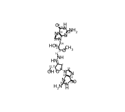 CO[C@H](CNN[C@H]1C[C@H](n2cnc3c(=O)[nH]c(N)nc32)O[C@@H]1CO)[C@@H](O)Cn1cnc2c(=O)[nH]c(N)nc21